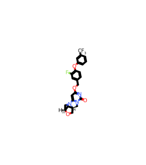 O=c1nc(OCc2ccc(Oc3cccc(C(F)(F)F)c3)c(F)c2)cc2n1C[C@]13CO[C@H](CN21)C3